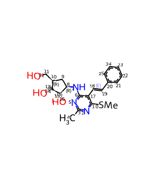 CSc1nc(C)nc(N[C@@H]2C[C@H](CO)[C@@H](O)[C@H]2O)c1/C=C/c1ccccc1